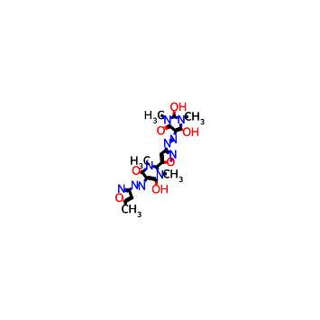 Cc1cc(N=NC2=C(O)N(C)C(c3cc(N=NC4=C(O)N(C)C(O)N(C)C4=O)no3)N(C)C2=O)no1